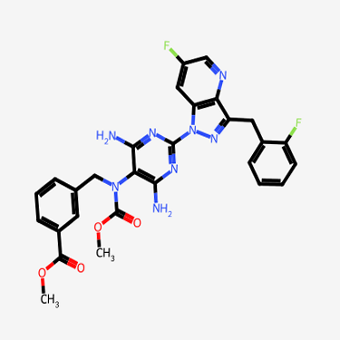 COC(=O)c1cccc(CN(C(=O)OC)c2c(N)nc(-n3nc(Cc4ccccc4F)c4ncc(F)cc43)nc2N)c1